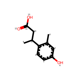 Cc1cc(O)ccc1C(C)CC(=O)O